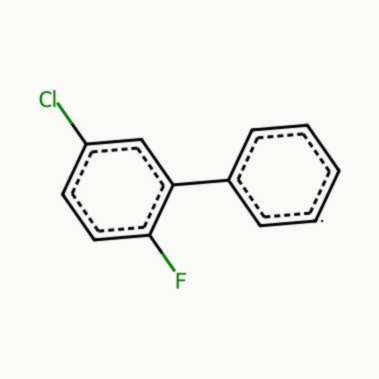 Fc1ccc(Cl)cc1-c1c[c]ccc1